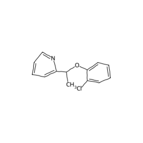 CC(Oc1ccccc1Cl)c1ccccn1